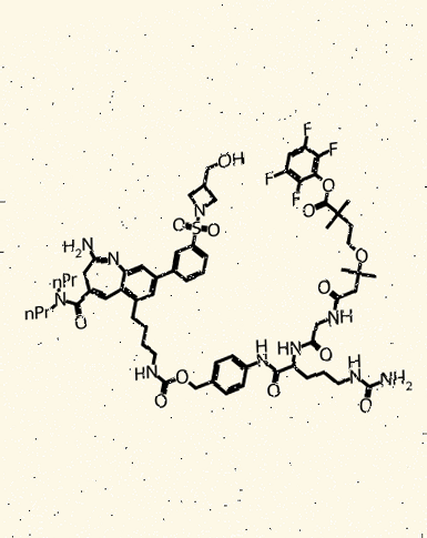 CCCN(CCC)C(=O)C1=Cc2c(CCCCNC(=O)OCc3ccc(NC(=O)C(CCCNC(N)=O)NC(=O)CNC(=O)CC(C)(C)OCCC(C)(C)C(=O)Oc4c(F)c(F)cc(F)c4F)cc3)cc(-c3cccc(S(=O)(=O)N4CC(CO)C4)c3)cc2N=C(N)C1